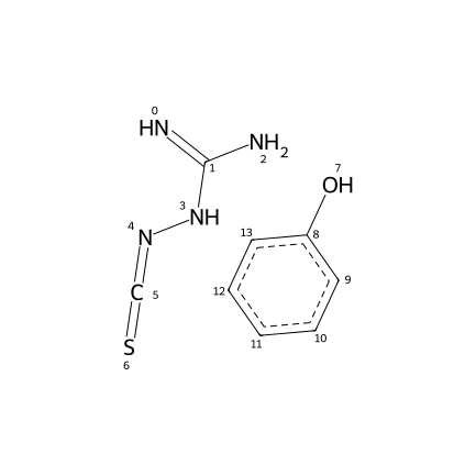 N=C(N)NN=C=S.Oc1ccccc1